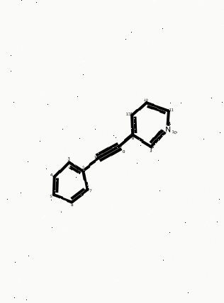 C(#Cc1ccccc1)c1[c]nccc1